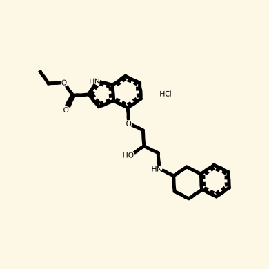 CCOC(=O)c1cc2c(OCC(O)CNC3CCc4ccccc4C3)cccc2[nH]1.Cl